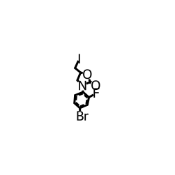 O=C1OC(CI)CN1c1ccc(Br)cc1F